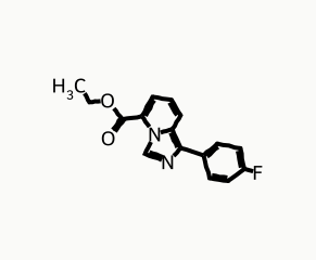 CCOC(=O)c1cccc2c(-c3ccc(F)cc3)ncn12